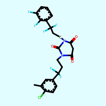 Cc1cc(C(F)(F)CCN2C(=O)CC(=O)N(CCC(F)(F)c3cccc(F)c3F)C2=O)ccc1Cl